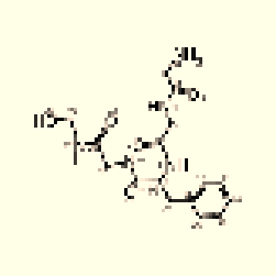 NCC(=O)NCC(=O)N[C@@H](Cc1ccccc1)C(=O)NCC(=O)NCO